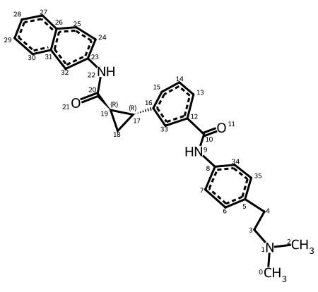 CN(C)CCc1ccc(NC(=O)c2cccc([C@@H]3C[C@H]3C(=O)Nc3ccc4ccccc4c3)c2)cc1